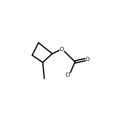 CC1CCC1OC(=O)Cl